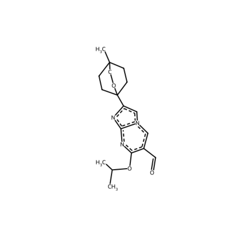 CC(C)Oc1nc2nc(C34CCC(C)(CC3)CO4)cn2cc1C=O